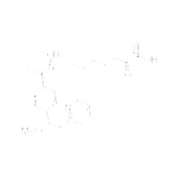 COC(Cc1ccccn1)c1ccc(C(=O)N(C)CCCCCCC(=O)NO)cc1